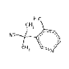 Cc1ccn[c]c1C(C)(C)O